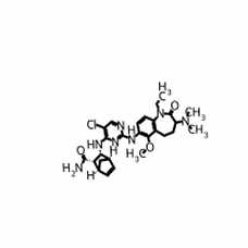 CCN1C(=O)C(N(C)C)CCc2c1ccc(Nc1ncc(Cl)c(N[C@H]3[C@@H](C(N)=O)[C@@H]4C=C[C@H]3C4)n1)c2OC